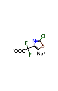 O=C([O-])C(F)(F)c1csc(Cl)n1.[Na+]